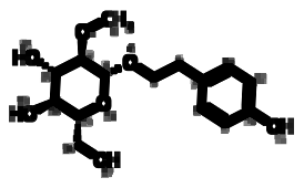 CO[C@H]1[C@H](OCCc2ccc(O)cc2)O[C@H](CO)[C@@H](O)[C@@H]1O